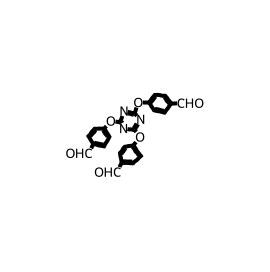 O=Cc1ccc(Oc2nc(Oc3ccc(C=O)cc3)nc(Oc3ccc(C=O)cc3)n2)cc1